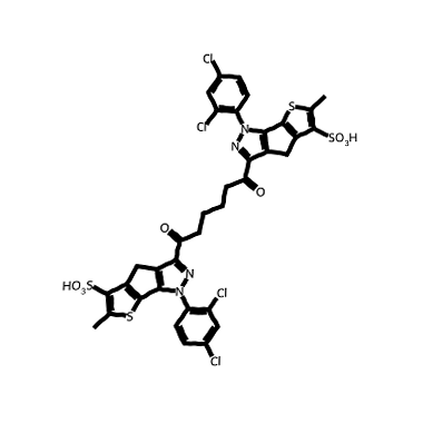 Cc1sc2c(c1S(=O)(=O)O)Cc1c(C(=O)CCCCC(=O)c3nn(-c4ccc(Cl)cc4Cl)c4c3Cc3c-4sc(C)c3S(=O)(=O)O)nn(-c3ccc(Cl)cc3Cl)c1-2